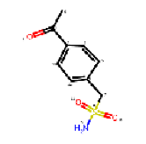 CC(=O)c1ccc(CS(N)(=O)=O)cc1